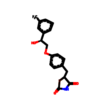 O=C1NC(=O)C(Cc2ccc(OC[C@@H](O)c3cccc(C(F)(F)F)c3)cc2)S1